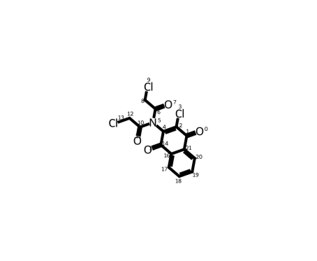 O=C1C(Cl)=C(N(C(=O)CCl)C(=O)CCl)C(=O)c2ccccc21